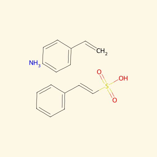 C=Cc1ccccc1.N.O=S(=O)(O)C=Cc1ccccc1